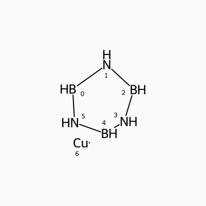 B1NBNBN1.[Cu]